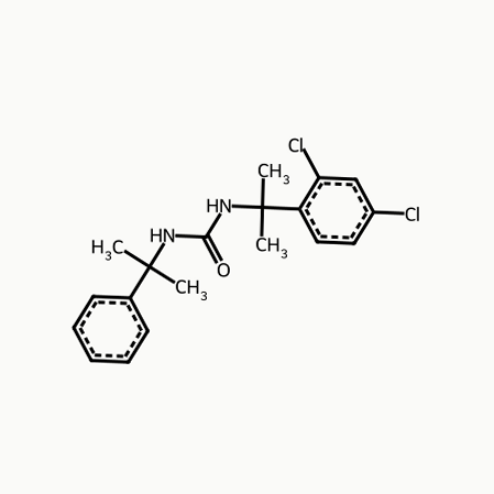 CC(C)(NC(=O)NC(C)(C)c1ccc(Cl)cc1Cl)c1ccccc1